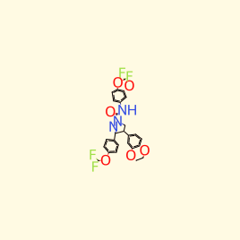 O=C(Nc1ccc2c(c1)OC(F)(F)O2)N1CC(c2ccc3c(c2)OCCO3)C(c2ccc(OC(F)F)cc2)=N1